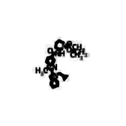 Cn1c(-c2cc3ccccc3n2CC2CC2)nc2cc(C(=O)NC3CCCCN(C(=O)OC(C)(C)C)C3)ccc21